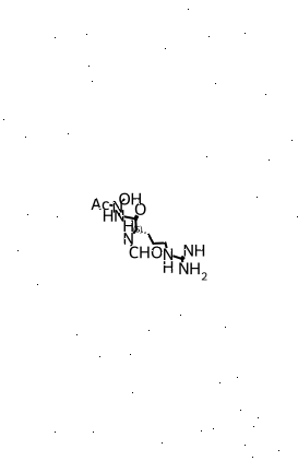 CC(=O)N(O)NC(=O)[C@H](CCCNC(=N)N)NC=O